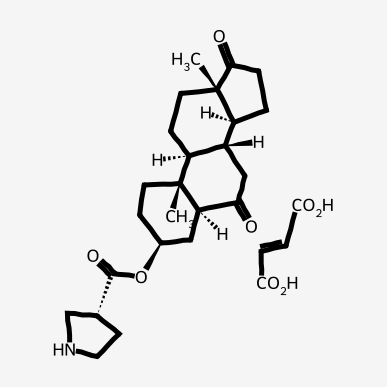 C[C@]12CC[C@H](OC(=O)[C@@H]3CCNC3)C[C@@H]1C(=O)C[C@@H]1[C@@H]2CC[C@]2(C)C(=O)CC[C@@H]12.O=C(O)/C=C/C(=O)O